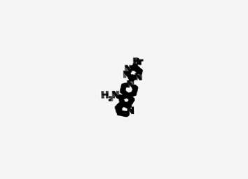 NC1c2cccnc2CC12CCN(c1ncc(Br)nn1)CC2